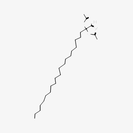 CCCCCCCCCCCCCCCCCCCCC(OC(C)=O)(OC(C)=O)C(=O)O